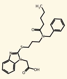 CCCCC(=O)N(CCCSc1nc2ccccc2n1CC(=O)O)Cc1ccccc1